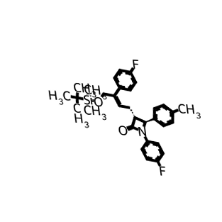 Cc1ccc([C@@H]2[C@@H](C/C=C(/CO[Si](C)(C)C(C)(C)C)c3ccc(F)cc3)C(=O)N2c2ccc(F)cc2)cc1